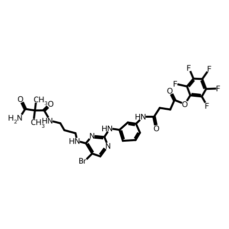 CC(C)(C(N)=O)C(=O)NCCCNc1nc(Nc2cccc(NC(=O)CCC(=O)Oc3c(F)c(F)c(F)c(F)c3F)c2)ncc1Br